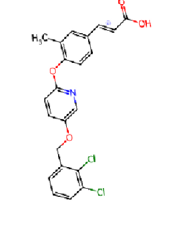 Cc1cc(/C=C/C(=O)O)ccc1Oc1ccc(OCc2cccc(Cl)c2Cl)cn1